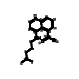 CN(C)CCCNc1ccnc2cccc([N+](=O)[O-])c12